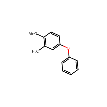 COc1ccc(Oc2c[c]ccc2)cc1C